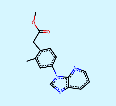 COC(=O)Cc1ccc(-n2cnc3cccnc32)cc1C